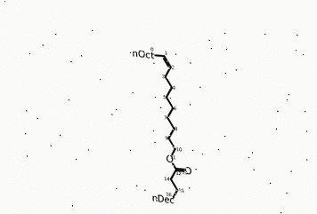 CCCCCCCC/C=C\CCCCCCCCOC(=O)CCCCCCCCCCCC